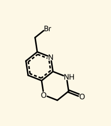 O=C1COc2ccc(CBr)nc2N1